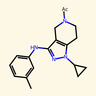 CC(=O)N1CCc2c(c(Nc3cccc(C)c3)nn2C2CC2)C1